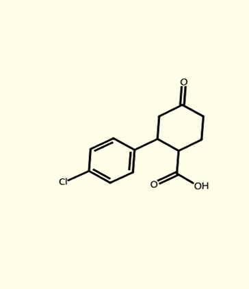 O=C1CCC(C(=O)O)C(c2ccc(Cl)cc2)C1